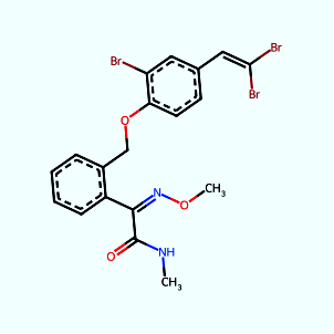 CNC(=O)C(=NOC)c1ccccc1COc1ccc(C=C(Br)Br)cc1Br